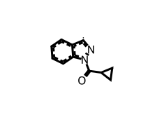 O=C(C1CC1)n1n[c]c2ccccc21